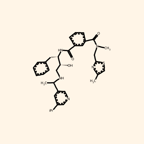 Cc1csc(CN(C)C(=O)c2cccc(C(=O)N[C@@H](Cc3ccccc3)[C@H](O)CNC(C)c3cncc(C(C)C)c3)c2)n1